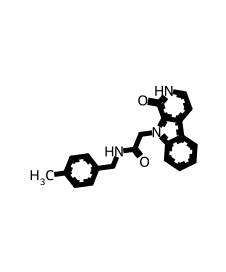 Cc1ccc(CNC(=O)Cn2c3ccccc3c3cc[nH]c(=O)c32)cc1